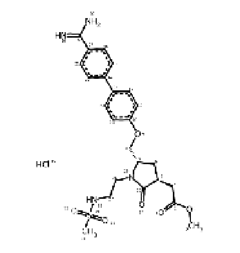 COC(=O)C[C@@H]1C[C@@H](COc2ccc(-c3ccc(C(=N)N)cc3)cc2)N(CCNS(C)(=O)=O)C1=O.Cl